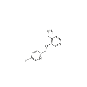 NCc1ccncc1OCc1ccc(F)cn1